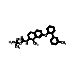 Cc1cccc(-c2ccccc2Oc2ccc3c(c2)C(C)C(NC(=O)OC(C)(C)C)CC3)c1